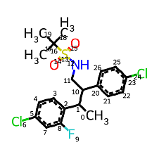 CC(c1ccc(Cl)cc1F)C(CNS(=O)(=O)C(C)(C)C)c1ccc(Cl)cc1